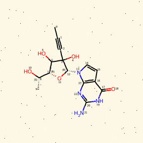 CC#CC1(O)C(O)[C@@H]([C@H](C)O)O[C@H]1n1ccc2c(=O)[nH]c(N)nc21